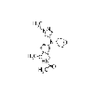 CCn1cc(N(c2ccc(OC)c(CNC(C)=O)c2)C2CCOCC2)cn1